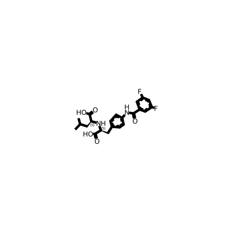 CC(C)C[C@H](N[C@@H](Cc1ccc(NC(=O)c2cc(F)cc(F)c2)cc1)C(=O)O)C(=O)O